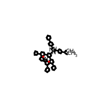 C/C=C\C(=C/C)c1ccc(-c2nc(-c3ccc(-c4ccccc4)cc3)nc(-c3cc(-c4ccc(-c5ccccc5)cc4)c(-n4c5ccccc5c5cc(-c6ccccc6)ccc54)c(-c4ccc(-c5ccccc5)cc4)c3)n2)cc1